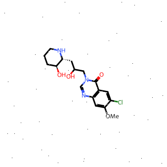 COc1cc2ncn(CC(O)C[C@H]3NCCC[C@@H]3O)c(=O)c2cc1Cl